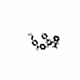 O=C([C@H]1CC[C@H](Oc2cc(-n3c(C(F)F)nc4ccccc43)nc(N3CCOCC3)n2)CC1)N1CCN(CCO)CC1